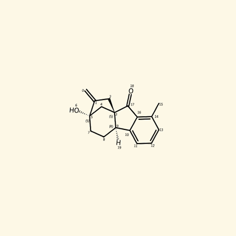 C=C1C[C@]23C[C@@]1(O)CC[C@@H]2c1cccc(C)c1C3=O